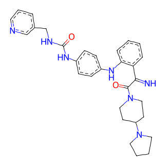 N=C(C(=O)N1CCC(N2CCCC2)CC1)c1ccccc1Nc1ccc(NC(=O)NCc2cccnc2)cc1